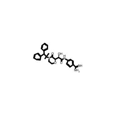 CC(C)(C(c1ccccc1)c1ccccc1)N1CCO[C@H]([C@@H](O)C(=O)Nc2ccc(C(=N)N)cc2)C1=O